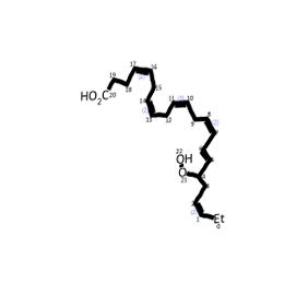 CC/C=C\CC(C=C/C=C\C/C=C\C/C=C\C/C=C\CCC(=O)O)OO